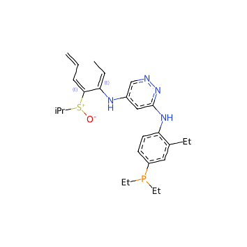 C=C/C=C(\C(=C/C)Nc1cnnc(Nc2ccc(P(CC)CC)cc2CC)c1)[S+]([O-])C(C)C